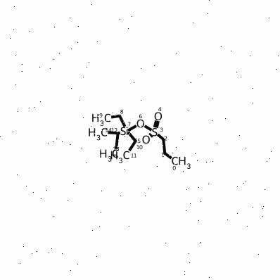 CCCS(=O)(=O)O[Si](CC)(CC)C(C)C